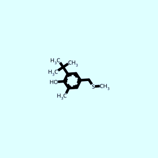 CSCc1cc(C)c(O)c(C(C)(C)C)c1